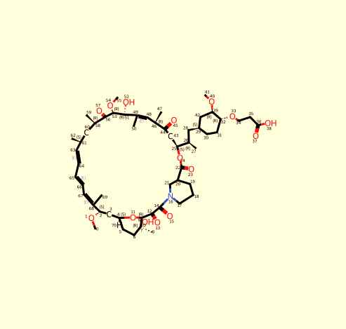 CO[C@H]1C[C@@H]2CC[C@@H](C)[C@@](O)(O2)C(=O)C(=O)N2CCCC(C2)C(=O)O[C@H]([C@H](C)C[C@@H]2CC[C@@H](OCCC(=O)O)[C@H](OC)C2)CC(=O)[C@H](C)/C=C(\C)[C@@H](O)[C@@H](OC)C(=O)[C@H](C)C[C@H](C)/C=C/C=C/C=C/1C